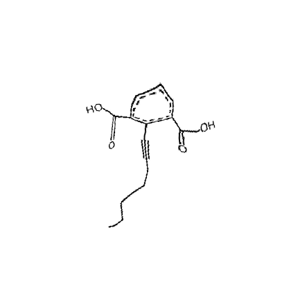 CCCCC#Cc1c(C(=O)O)cccc1C(=O)O